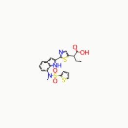 CCC(C(=O)O)c1cnc(-c2cc3cccc(N(C)S(=O)(=O)c4cccs4)c3[nH]2)s1